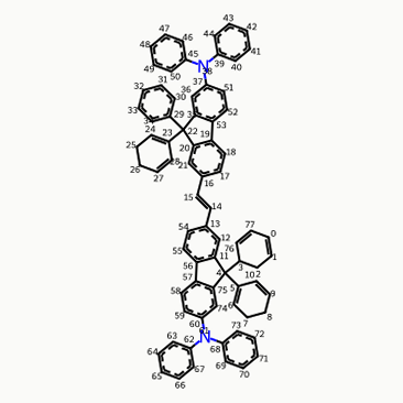 C1=CCC(C2(C3=CCCC=C3)c3cc(/C=C/c4ccc5c(c4)C(C4=CCCC=C4)(c4ccccc4)c4cc(N(c6ccccc6)c6ccccc6)ccc4-5)ccc3-c3ccc(N(c4ccccc4)c4ccccc4)cc32)C=C1